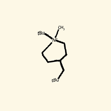 CC(C)(C)CC1CC[N+](C)(C(C)(C)C)CC1